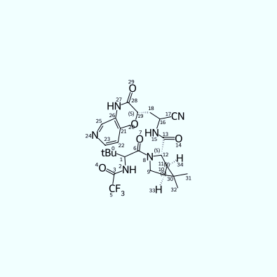 CC(C)(C)C(NC(=O)C(F)(F)F)C(=O)N1C[C@H]2[C@@H]([C@H]1C(=O)NC(C#N)C[C@@H]1Oc3ccncc3NC1=O)C2(C)C